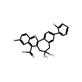 CC1(C)Cc2cc(-c3ccccc3F)ccc2-c2nc3ccc(F)cc3c(C(=O)O)c2C1